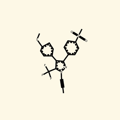 CC#Cn1nc(-c2ccc(S(C)(=O)=O)cc2)c(-c2ccc(SC)cc2)c1C(F)(F)F